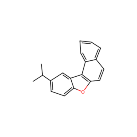 CC(C)c1ccc2oc3ccc4ccccc4c3c2c1